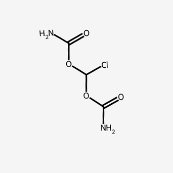 NC(=O)OC(Cl)OC(N)=O